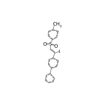 Cc1ccc(S(=O)(=O)C=C(I)c2ccc(-c3ccccc3)cc2)cc1